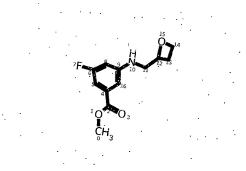 COC(=O)c1cc(F)cc(NCC2CCO2)c1